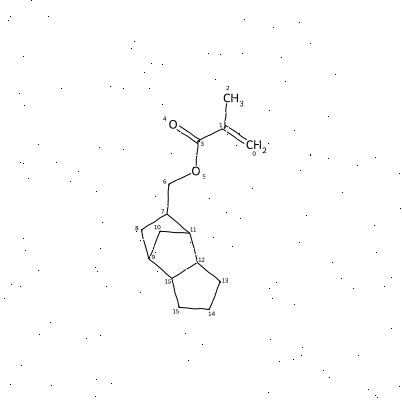 C=C(C)C(=O)OCC1CC2CC1C1CCCC21